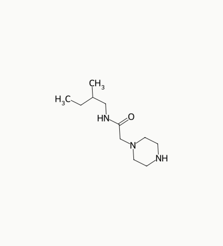 CCC(C)CNC(=O)CN1CCNCC1